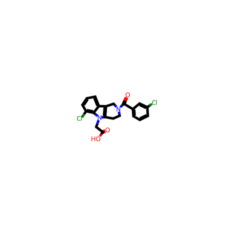 O=C(O)Cn1c2c(c3cccc(Cl)c31)CN(C(=O)c1cccc(Cl)c1)CC2